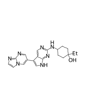 CCC1(O)CCC(Nc2ncc3c(-c4cnc5nccn5c4)c[nH]c3n2)CC1